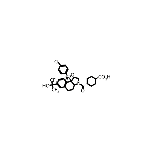 O=C(O)[C@H]1CC[C@H](C(=O)N2CCC3(S(=O)(=O)c4ccc(Cl)cc4)c4ccc(C(O)(C(F)(F)F)C(F)(F)F)cc4CCC23)CC1